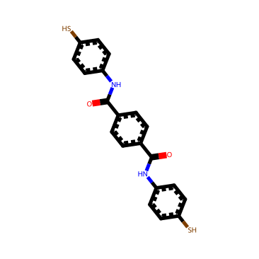 O=C(Nc1ccc(S)cc1)c1ccc(C(=O)Nc2ccc(S)cc2)cc1